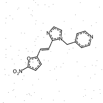 O=[N+]([O-])c1ccc(C=Cc2nccn2Cc2ccncc2)o1